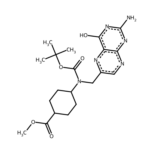 COC(=O)C1CCC(N(Cc2cnc3nc(N)nc(O)c3n2)C(=O)OC(C)(C)C)CC1